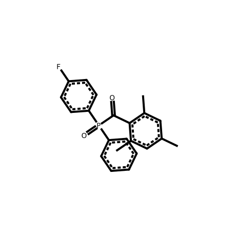 Cc1cc(C)c(C(=O)P(=O)(c2ccccc2)c2ccc(F)cc2)c(C)c1